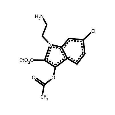 CCOC(=O)c1c(OC(=O)C(F)(F)F)c2ccc(Cl)cc2n1CCN